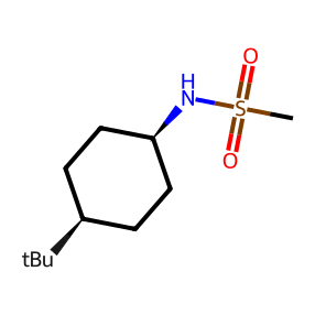 CC(C)(C)[C@H]1CC[C@@H](NS(C)(=O)=O)CC1